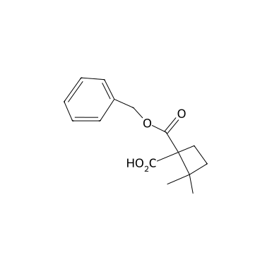 CC1(C)CCC1(C(=O)O)C(=O)OCc1ccccc1